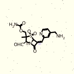 CC1(COC(N)=O)[C@H](C=O)N2C(=O)/C(=C/c3cc(CN)ccn3)C2S1(=O)=O